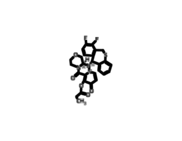 CCC(=O)Oc1c2n(ccc1=O)N([C@@H]1c3ccccc3SCc3c1ccc(F)c3F)[C@@H]1COCCN1C2=O